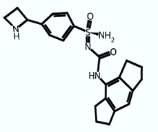 N[S@@](=O)(=NC(=O)Nc1c2c(cc3c1CCC3)CCC2)c1ccc(C2CCN2)cc1